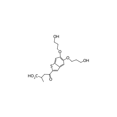 CC(CC(=O)c1cc2cc(OCCCO)c(OCCCO)cc2s1)C(=O)O